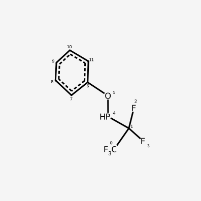 FC(F)(F)C(F)(F)POc1ccccc1